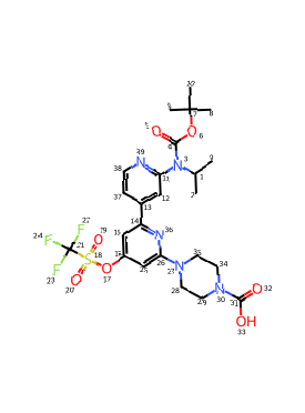 CC(C)N(C(=O)OC(C)(C)C)c1cc(-c2cc(OS(=O)(=O)C(F)(F)F)cc(N3CCN(C(=O)O)CC3)n2)ccn1